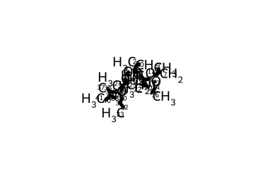 C=C(C)C(=O)OC.C=C(C)C(=O)[O][Sn]([CH2]CC)([CH2]CC)[CH2]CC.C=C(C)C(=O)[O][Sn]([CH2]CCC)([CH2]CCC)[CH2]CCC